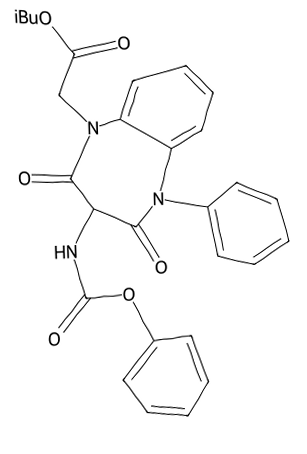 CC(C)COC(=O)CN1C(=O)C(NC(=O)Oc2ccccc2)C(=O)N(c2ccccc2)c2ccccc21